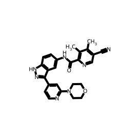 Cc1c(C#N)cnc(C(=O)Nc2ccc3[nH]nc(-c4ccnc(N5CCOCC5)c4)c3c2)c1C